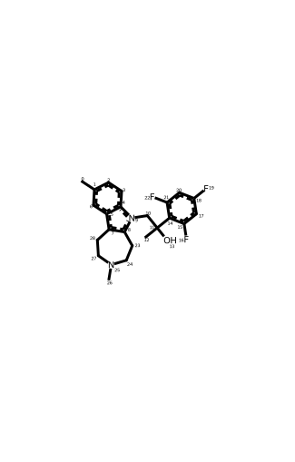 Cc1ccc2c(c1)c1c(n2CC(C)(O)c2c(F)cc(F)cc2F)CCN(C)CC1